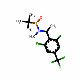 CC(c1c(F)cc(C(F)(F)F)cc1F)N(C)[S+]([O-])C(C)(C)C